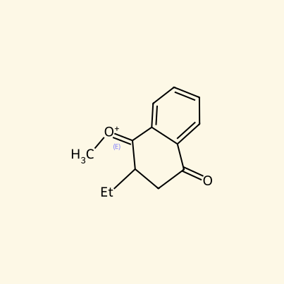 CCC1CC(=O)c2ccccc2/C1=[O+]/C